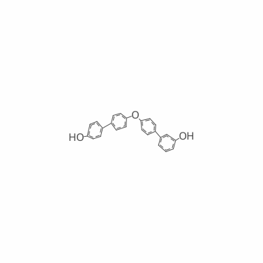 Oc1ccc(-c2ccc(Oc3ccc(-c4cccc(O)c4)cc3)cc2)cc1